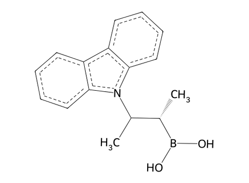 CC([C@H](C)B(O)O)n1c2ccccc2c2ccccc21